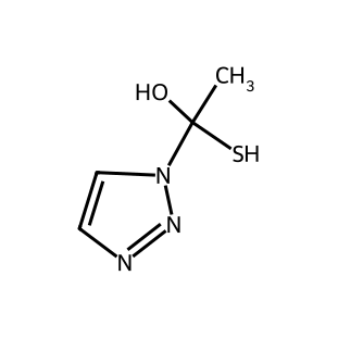 CC(O)(S)n1ccnn1